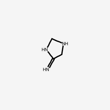 N=C1CNCN1